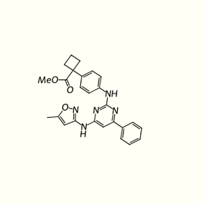 COC(=O)C1(c2ccc(Nc3nc(Nc4cc(C)on4)cc(-c4ccccc4)n3)cc2)CCC1